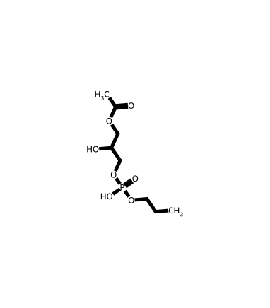 CCCOP(=O)(O)OCC(O)COC(C)=O